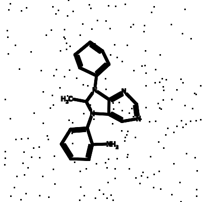 CC1N(c2ccccc2N)c2cncnc2N1c1ccccc1